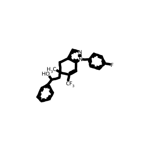 CC1(CC(O)c2ccccc2)Cc2cnn(-c3ccc(F)cc3)c2C=C1C(F)(F)F